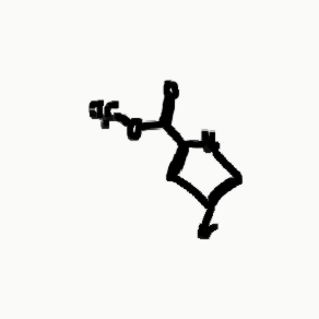 O=C(OC(Cl)(Cl)Cl)C1=CC(Br)=C[N]1